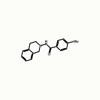 CCCCc1ccc(C(=O)NN2CCc3ccccc3C2)cc1